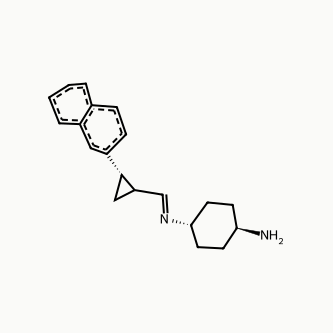 N[C@H]1CC[C@H](N=CC2C[C@@H]2c2ccc3ccccc3c2)CC1